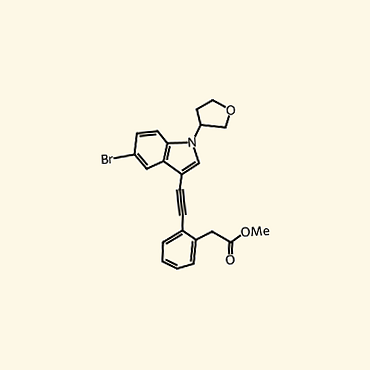 COC(=O)Cc1ccccc1C#Cc1cn(C2CCOC2)c2ccc(Br)cc12